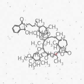 CC[C@H]1OC(=O)[C@H](C)[C@@H](O[C@H]2C[C@@](C)(OC)[C@@H](O)[C@H](C)O2)[C@H](C)[C@@H](O[C@@H]2O[C@H](C)C[C@H](N(C)CCN3C(=O)c4ccccc4C3=O)[C@H]2O)[C@@](C)(OC)C[C@@H](C)C2=NCCN3C(=O)O[C@@]1(C)[C@H]3[C@H]2C